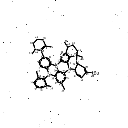 CC1=C(c2ccc3c(c2)B2c4sc5c(c4N(C4C=CC(C(C)(C)C)=CC4)c4cc(C)cc(c42)N3c2c(C)cccc2C)C(C)(I)CCC5C)C(C)CCC1